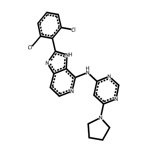 Clc1cccc(Cl)c1-c1nc2ccnc(Nc3cc(N4CCCC4)ncn3)c2[nH]1